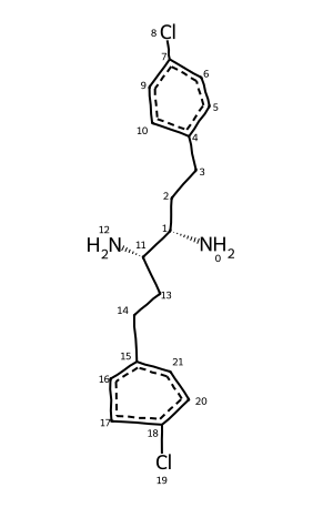 N[C@@H](CCc1ccc(Cl)cc1)[C@@H](N)CCc1ccc(Cl)cc1